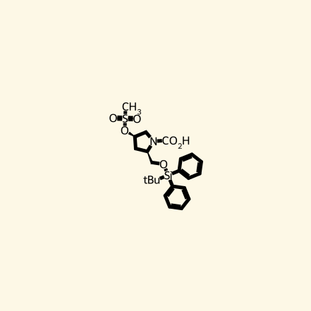 CC(C)(C)[Si](OC[C@H]1C[C@@H](OS(C)(=O)=O)CN1C(=O)O)(c1ccccc1)c1ccccc1